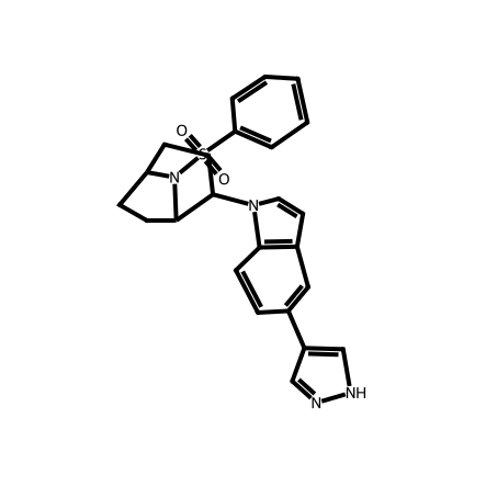 O=S(=O)(c1ccccc1)N1C2CCC1C(n1ccc3cc(-c4cn[nH]c4)ccc31)CC2